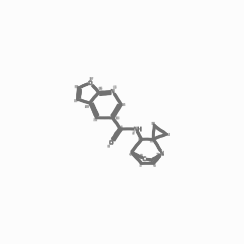 O=C(NC1C2CCN(CC2)C12CC2)c1cnc2occc2c1